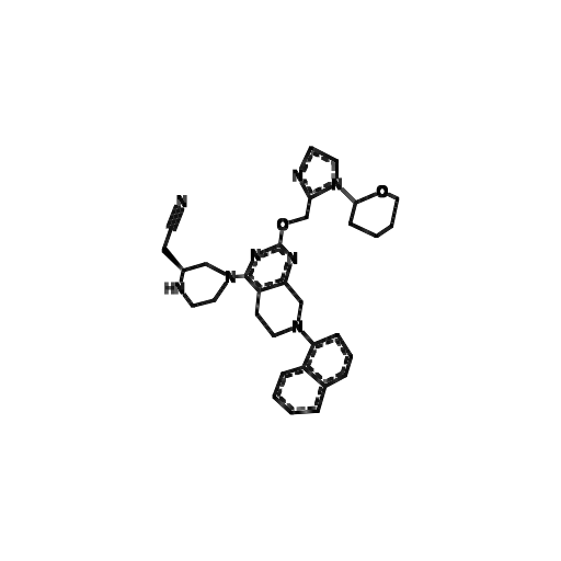 N#CC[C@H]1CN(c2nc(OCc3nccn3C3CCCCO3)nc3c2CCN(c2cccc4ccccc24)C3)CCN1